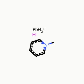 C[n+]1ccccc1.I.[PbH2]